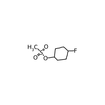 CS(=O)(=O)OC1CCC(F)CC1